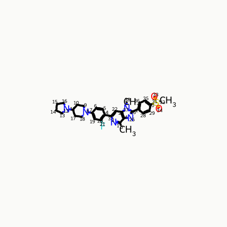 Cc1nc(-c2ccc(N3CCC(N4CCCC4)CC3)cc2F)cc2c1nc(-c1ccc(S(C)(=O)=O)cc1)n2C